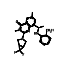 Cc1cc(C(C)Nc2ccccc2C(=O)O)c2nc(N3CC4C(C3)C4(F)F)n(C)c(=O)c2c1